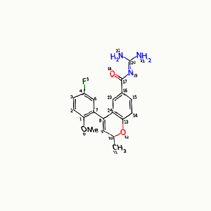 COc1ccc(F)cc1C1=CC(C)Oc2ccc(C(=O)N=C(N)N)cc21